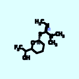 C/N=C(\S[C@@H]1CCCC(C(O)C(F)(F)F)O1)N(C)C